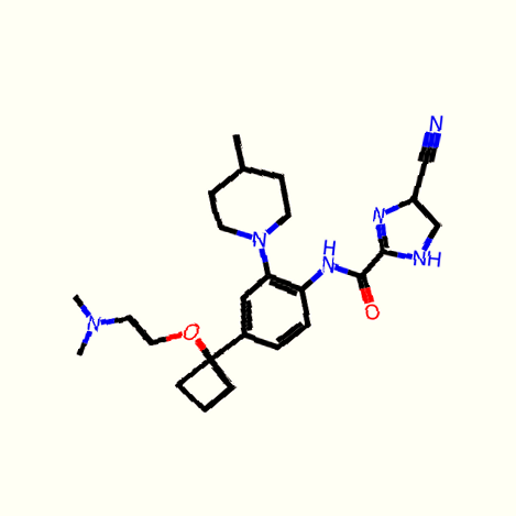 CC1CCN(c2cc(C3(OCCN(C)C)CCC3)ccc2NC(=O)C2=NC(C#N)CN2)CC1